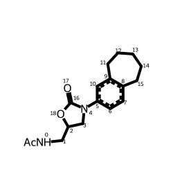 CC(=O)NCC1CN(c2ccc3c(c2)CCCCC3)C(=O)O1